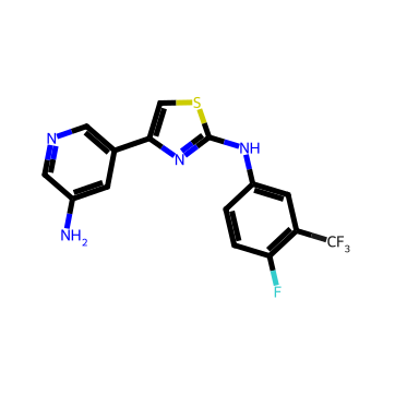 Nc1cncc(-c2csc(Nc3ccc(F)c(C(F)(F)F)c3)n2)c1